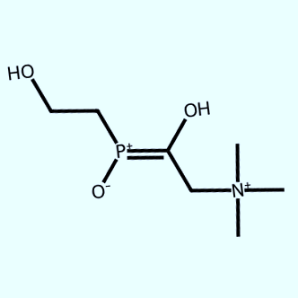 C[N+](C)(C)C/C(O)=[P+](\[O-])CCO